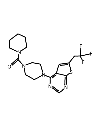 O=C(N1CCCCC1)N1CCN(c2ncnc3sc(CC(F)(F)F)cc23)CC1